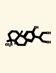 C[C@]1(C(=O)O)CCC[C@]2(C)c3cc(O)c(C(CO)CO)cc3CC[C@@H]12